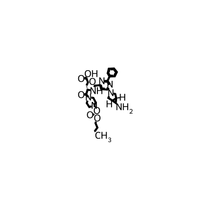 CCCCOC(=O)ON1CCN(C(=O)[C@H](CCC(=O)O)NC(=O)c2cc(N3C[C@@H]4[C@H](N)[C@@H]4C3)nc(-c3ccccc3)n2)CC1